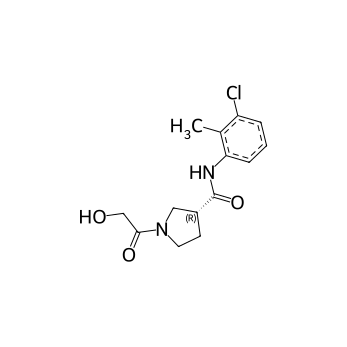 Cc1c(Cl)cccc1NC(=O)[C@@H]1CCN(C(=O)CO)C1